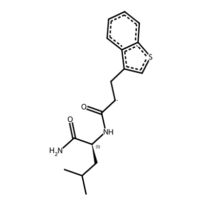 CC(C)C[C@H](NC(=O)[CH]Cc1csc2ccccc12)C(N)=O